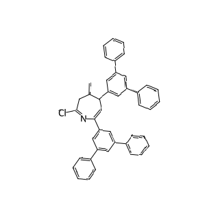 C=C1CC(Cl)=NC(c2cc(-c3ccccc3)cc(-c3ccccc3)c2)=CC1c1cc(-c2ccccc2)cc(-c2ccccc2)c1